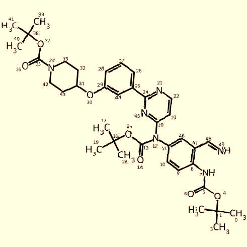 CC(C)(C)OC(=O)Nc1ccc(N(C(=O)OC(C)(C)C)c2ccnc(-c3cccc(OC4CCN(C(=O)OC(C)(C)C)CC4)c3)n2)cc1C=N